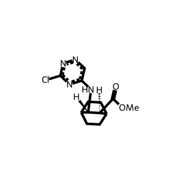 COC(=O)[C@H]1C2CCC(CC2)[C@@H]1Nc1cnnc(Cl)n1